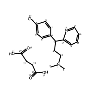 CN(C)CCC(c1ccc(Cl)cc1)c1ccccn1.O=C(O)CCC(=O)O